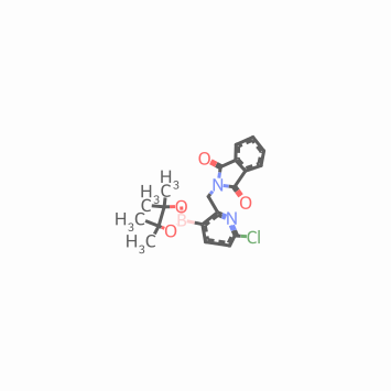 CC1(C)OB(c2ccc(Cl)nc2CN2C(=O)c3ccccc3C2=O)OC1(C)C